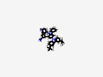 CC(C)(C)c1ccc2c(c1)c1cc(C(C)(C)C)ccc1n2-c1cc(-c2cc(C#N)cc(C#N)c2)c2c(c1)c1ccccc1n2-c1ccccc1